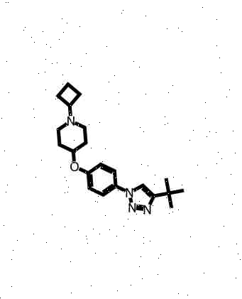 CC(C)(C)c1cn(-c2ccc(OC3CCN(C4CCC4)CC3)cc2)nn1